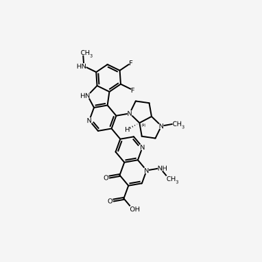 CNc1cc(F)c(F)c2c1[nH]c1ncc(-c3cnc4c(c3)c(=O)c(C(=O)O)cn4NC)c(N3CCC4[C@H]3CCN4C)c12